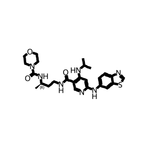 CC(C)Nc1cc(Nc2ccc3ncsc3c2)ncc1C(=O)NCC[C@@H](C)NC(=O)N1CCOCC1